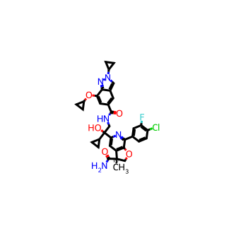 C[C@]1(C(N)=O)COc2c1cc(C(O)(CNC(=O)c1cc(OC3CC3)c3nn(C4CC4)cc3c1)C1CC1)nc2-c1ccc(Cl)c(F)c1